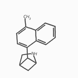 Cc1ccc(C2C3CNC2C3)c2ccccc12